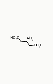 O=C(O)CCCC(=O)O.[AlH3]